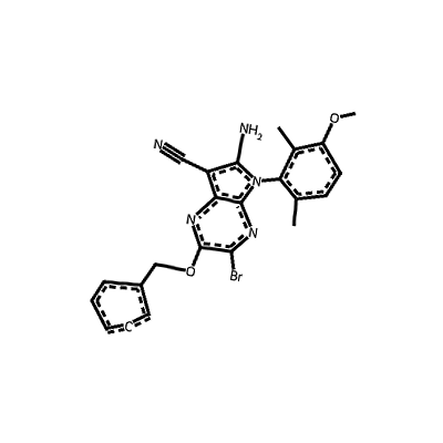 COc1ccc(C)c(-n2c(N)c(C#N)c3nc(OCc4ccccc4)c(Br)nc32)c1C